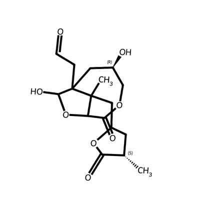 C[C@H]1CC(CC2(C)C3OC(O)C2(CC=O)C[C@@H](O)COC3=O)OC1=O